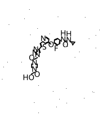 O=C(Nc1ccc(Oc2ccnc3cc(-c4cn(CC(=O)N5CCN(C(=O)CO)CC5)nn4)sc23)c(F)c1)NC1CC1